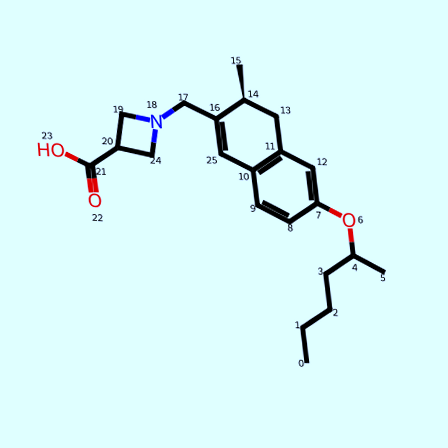 CCCCC(C)Oc1ccc2c(c1)C[C@H](C)C(CN1CC(C(=O)O)C1)=C2